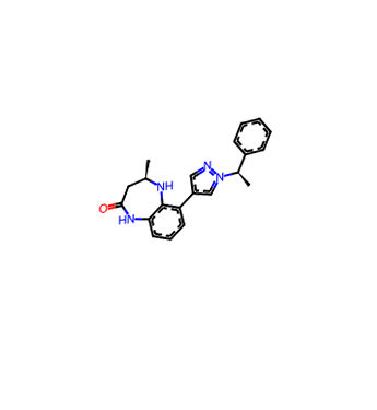 C[C@@H]1CC(=O)Nc2cccc(-c3cnn([C@H](C)c4ccccc4)c3)c2N1